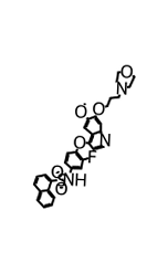 COc1cc2c(Oc3ccc(NS(=O)(=O)c4cccc5ccccc45)cc3F)ccnc2cc1OCCCN1CCOCC1